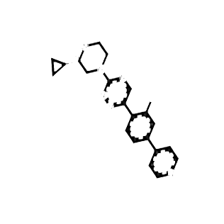 Oc1cc(-c2ccncc2)ccc1-c1cnc(N2CCN[C@@H](C3CC3)C2)nn1